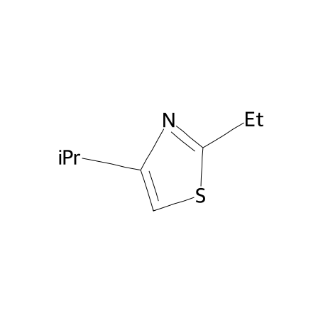 [CH2]Cc1nc(C(C)C)cs1